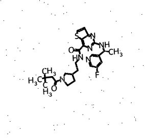 C[C@H](Nc1nc(C(=O)NCCC2CCN(C(=O)CC(C)(C)C)C2)c2sccc2n1)c1cncc(F)c1